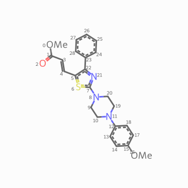 COC(=O)C=Cc1sc(N2CCN(c3ccc(OC)cc3)CC2)nc1-c1ccccc1